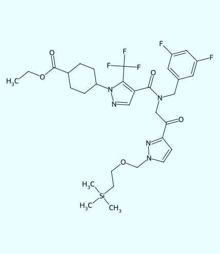 CCOC(=O)C1CCC(n2ncc(C(=O)N(CC(=O)c3ccn(COCC[Si](C)(C)C)n3)Cc3cc(F)cc(F)c3)c2C(F)(F)F)CC1